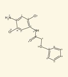 Nc1cc(Cl)c(NC(=O)COc2ccccc2)cc1Cl